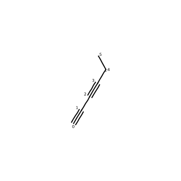 C#CC#C[CH]C